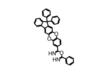 N=C(OC(=N)c1ccc2c(c1)Oc1cc3c(cc1O2)C(c1ccccc1)(c1ccccc1)c1ccccc1-3)c1ccccc1